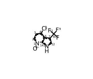 [O-][n+]1ccc(Cl)c2c(C(F)(F)F)c[nH]c21